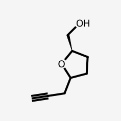 C#CCC1CC[C@H](CO)O1